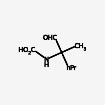 CCCC(C)(C=O)NC(=O)O